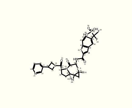 O=C(N[C@H]1C[C@@H]2C[C@@H]2[C@H]2CC[C@@H](C(=O)N3CC(c4cccnc4)C3)N2C1=O)c1cc2cc(C(F)(F)P(=O)(O)O)ccc2s1